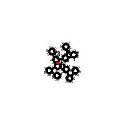 C1=CC2c3cc(-n4c5ccc(-c6ccccc6-c6ccccc6)cc5c5cc(-c6ccccc6-c6ccccc6)ccc54)c(-c4cccc5c4oc4ccccc45)cc3N(c3ccccc3)C2C=C1